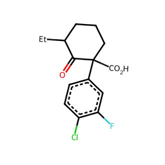 CCC1CCCC(C(=O)O)(c2ccc(Cl)c(F)c2)C1=O